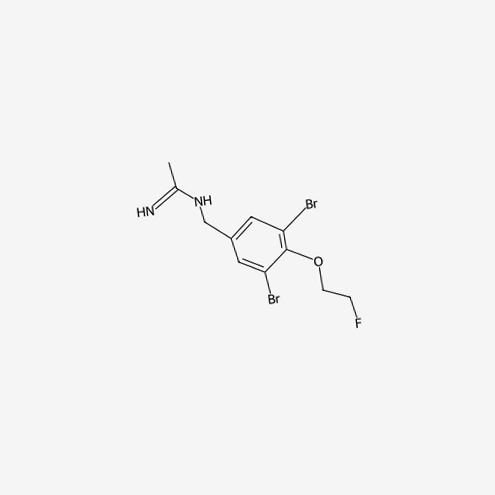 CC(=N)NCc1cc(Br)c(OCCF)c(Br)c1